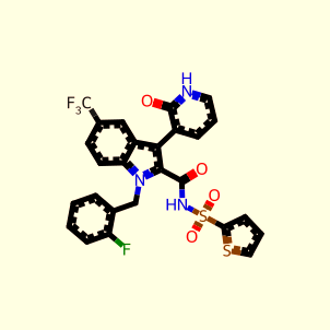 O=C(NS(=O)(=O)c1cccs1)c1c(-c2ccc[nH]c2=O)c2cc(C(F)(F)F)ccc2n1Cc1ccccc1F